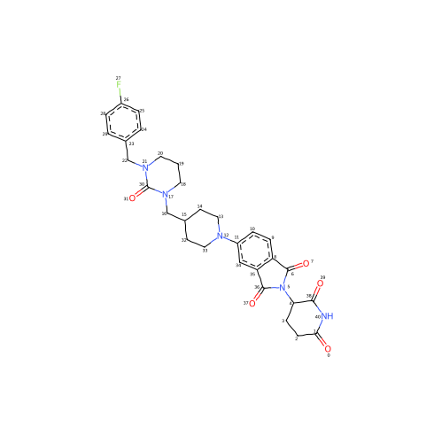 O=C1CCC(N2C(=O)c3ccc(N4CCC(CN5CCCN(Cc6ccc(F)cc6)C5=O)CC4)cc3C2=O)C(=O)N1